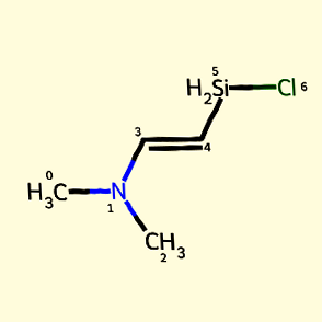 CN(C)C=C[SiH2]Cl